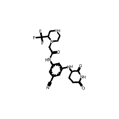 N#Cc1cc(NC(=O)CN2CCNCC2C(F)(F)F)cc(NC2CCC(=O)NC2=O)c1